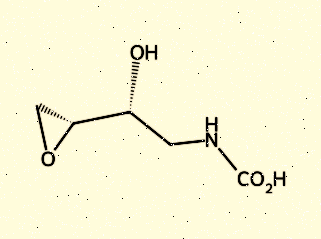 O=C(O)NC[C@@H](O)[C@H]1CO1